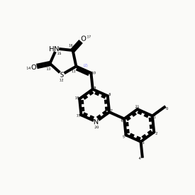 Cc1cc(C)cc(-c2cc(/C=C3\SC(=O)NC3=O)ccn2)c1